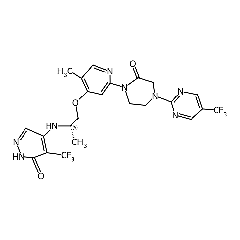 Cc1cnc(N2CCN(c3ncc(C(F)(F)F)cn3)CC2=O)cc1OC[C@H](C)Nc1cn[nH]c(=O)c1C(F)(F)F